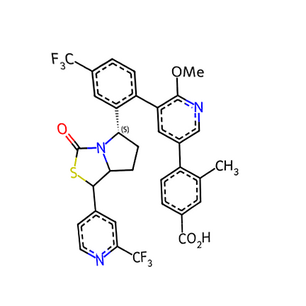 COc1ncc(-c2ccc(C(=O)O)cc2C)cc1-c1ccc(C(F)(F)F)cc1[C@@H]1CCC2C(c3ccnc(C(F)(F)F)c3)SC(=O)N21